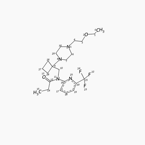 CCOCCN1CCN(C2(CN(C(=O)CC)c3cccc(C(F)(F)F)n3)CCC2)CC1